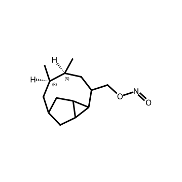 C[C@@H]1CC2CC3C(C2)C3C(CON=O)C[C@@H]1C